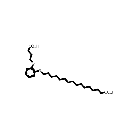 O=C(O)CCCCCCCCCCCCCCCSc1ccccc1SCCCC(=O)O